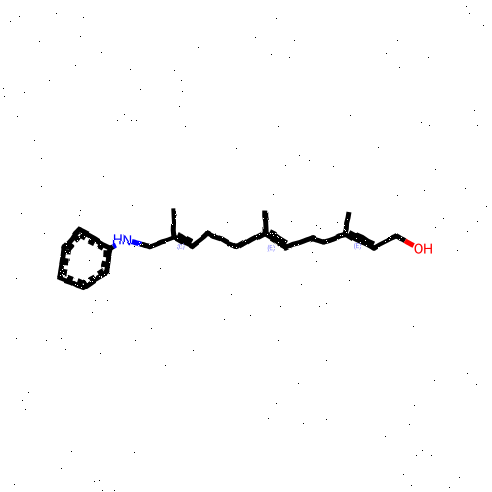 C/C(=C\CO)CC/C=C(\C)CC/C=C(\C)CNc1ccccc1